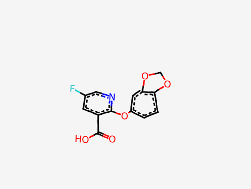 O=C(O)c1cc(F)cnc1Oc1ccc2c(c1)OCO2